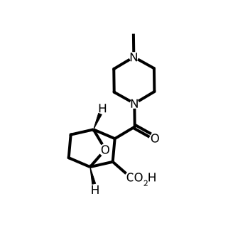 CN1CCN(C(=O)C2C(C(=O)O)[C@@H]3CC[C@H]2O3)CC1